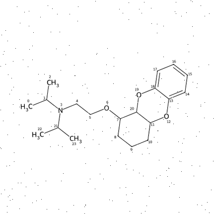 CC(C)N(CCOC1CCCC2Oc3ccccc3OC12)C(C)C